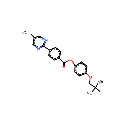 CCCCCCCCCCc1cnc(-c2ccc(C(=O)Oc3ccc(OCC(C)(C#N)CCCC)cc3)cc2)nc1